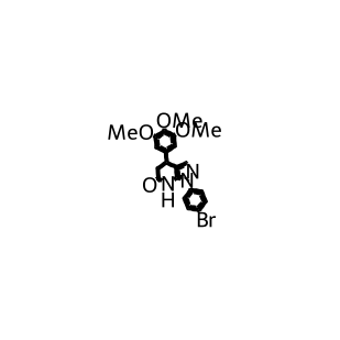 COc1cc(C2CC(=O)Nc3c2cnn3-c2ccc(Br)cc2)cc(OC)c1OC